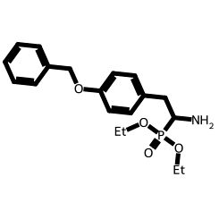 CCOP(=O)(OCC)C(N)Cc1ccc(OCc2ccccc2)cc1